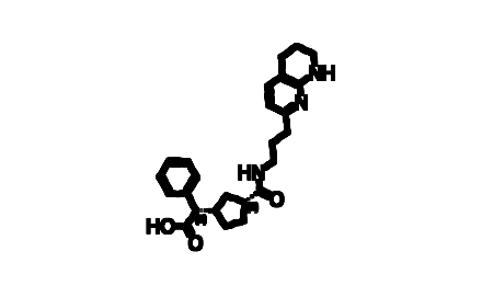 O=C(NCCCc1ccc2c(n1)NCCC2)[C@@H]1CCC([C@H](C(=O)O)c2ccccc2)C1